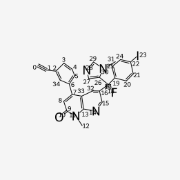 C#Cc1cccc(-c2cc(=O)n(C)c3ncc([C@](F)(c4ccc(I)cc4)c4cncn4C)cc23)c1